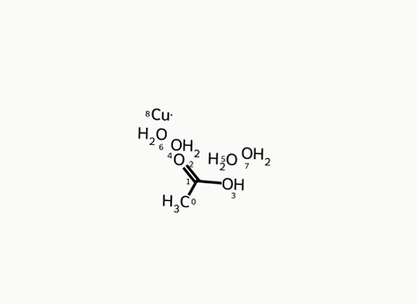 CC(=O)O.O.O.O.O.[Cu]